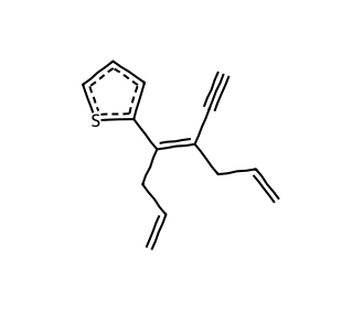 C#CC(CC=C)=C(CC=C)c1cccs1